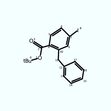 CC(C)(C)OC(=O)c1ccc(I)cc1Cc1ccccc1